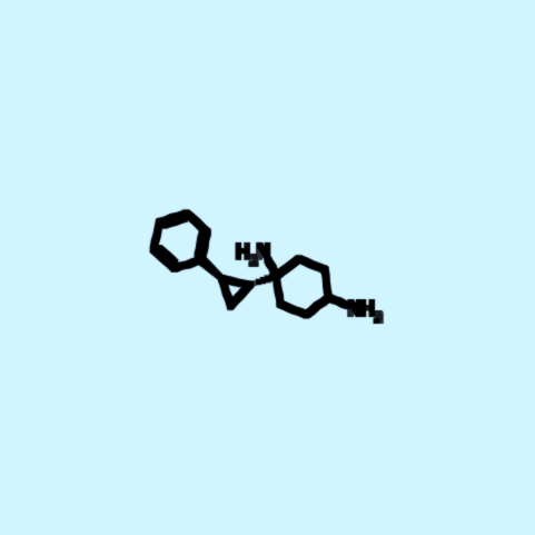 NC1CCC(N)([C@@H]2C[C@H]2c2ccccc2)CC1